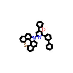 c1ccc(-c2cccc(-c3nc(-n4c5ccc6cccc7sc8cccc9ccc4c(c98)c5c67)cc4c3oc3ccccc34)c2)cc1